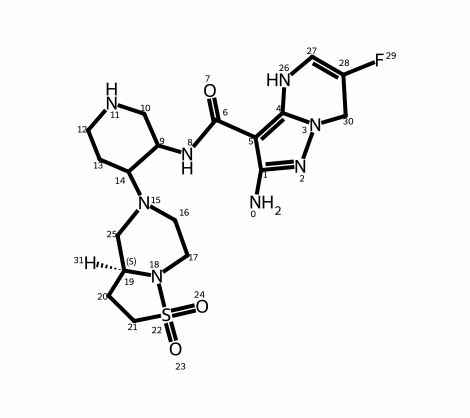 Nc1nn2c(c1C(=O)NC1CNCCC1N1CCN3[C@@H](CCS3(=O)=O)C1)NC=C(F)C2